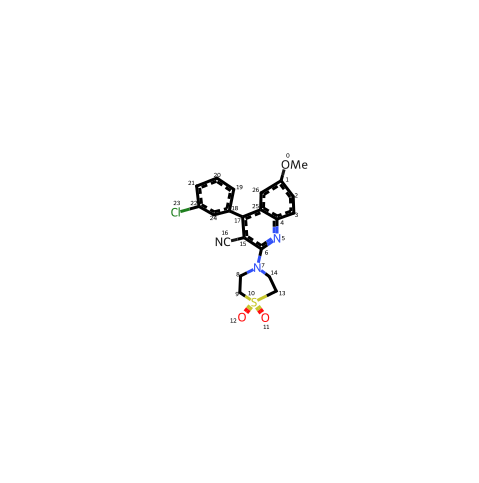 COc1ccc2nc(N3CCS(=O)(=O)CC3)c(C#N)c(-c3cccc(Cl)c3)c2c1